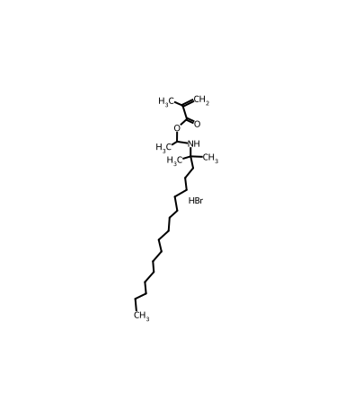 Br.C=C(C)C(=O)OC(C)NC(C)(C)CCCCCCCCCCCCCCC